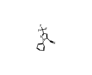 N#Cc1cc(C(F)(F)F)nn1-c1ccccc1